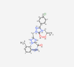 Cc1cccc(C)c1-n1nc(Cn2nc(-c3ccc(Cl)cc3)n(CC(O)C(F)(F)F)c2=O)nc1C(N)=O